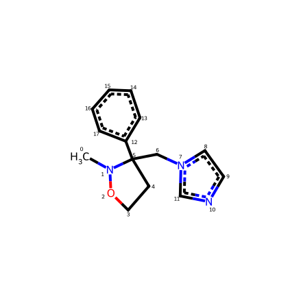 CN1OCCC1(Cn1ccnc1)c1ccccc1